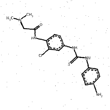 CN(C)CC(=O)Nc1ccc(NC(=S)Nc2ccc(N)cc2)cc1Cl